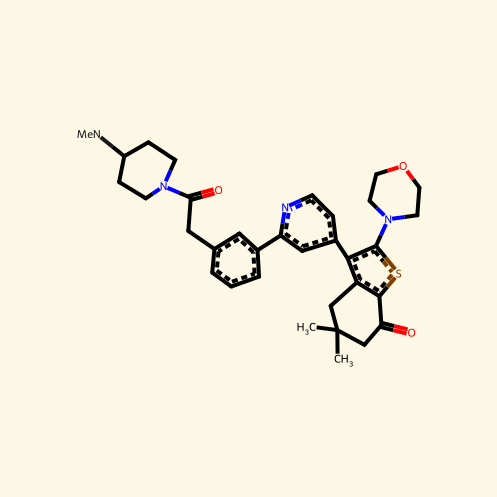 CNC1CCN(C(=O)Cc2cccc(-c3cc(-c4c(N5CCOCC5)sc5c4CC(C)(C)CC5=O)ccn3)c2)CC1